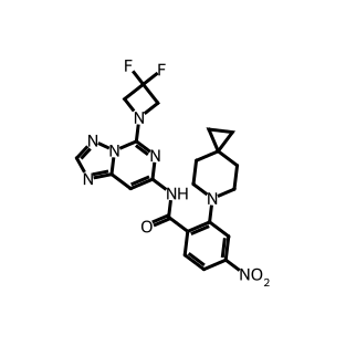 O=C(Nc1cc2ncnn2c(N2CC(F)(F)C2)n1)c1ccc([N+](=O)[O-])cc1N1CCC2(CC1)CC2